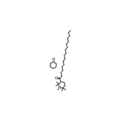 C1CCNCC1.CCCCCCCCCCCCCCCCCC(=O)C1CCC(C)(C)N(C)C1(C)C